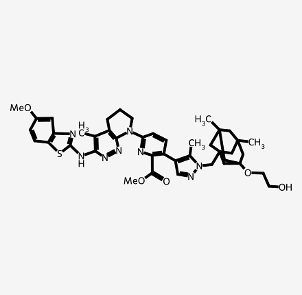 COC(=O)c1nc(N2CCCc3c2nnc(Nc2nc4cc(OC)ccc4s2)c3C)ccc1-c1cnn(CC23CC4(C)CC(C)(C2)CC(OCCO)(C4)C3)c1C